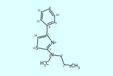 CCCN(C)c1nc(-c2ccccc2)cs1